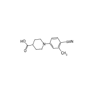 Cc1cc(N2CCC(C(=O)O)CC2)ccc1C#N